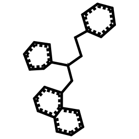 c1ccc(CC[C](Cc2cccc3ccccc23)c2ccccc2)cc1